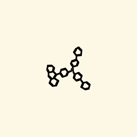 c1ccc(-c2ccc(N(c3ccc(-c4ccccc4)cc3)c3ccc(-c4c5ccccc5cc5ccccc45)cc3)cc2)cc1